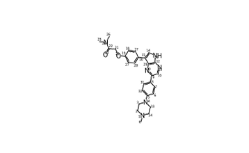 CN1CCN(c2ccc(-c3cnc4[nH]cc(-c5ccc(OCC(=O)N(C)C)cc5)c4n3)cc2)CC1